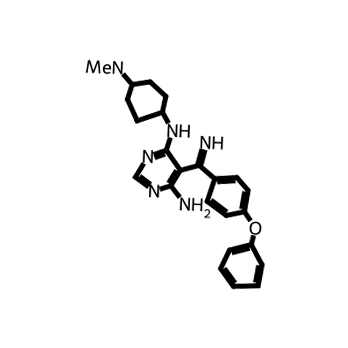 CNC1CCC(Nc2ncnc(N)c2C(=N)c2ccc(Oc3ccccc3)cc2)CC1